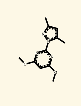 COc1cc(OC)nc(-n2nc(C)cc2C)n1